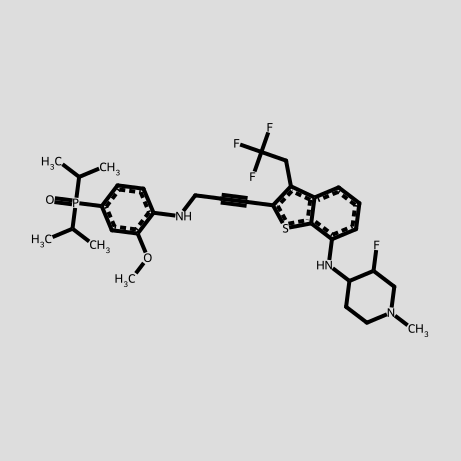 COc1cc(P(=O)(C(C)C)C(C)C)ccc1NCC#Cc1sc2c(NC3CCN(C)CC3F)cccc2c1CC(F)(F)F